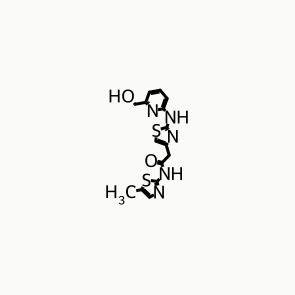 Cc1cnc(NC(=O)Cc2csc(Nc3cccc(CO)n3)n2)s1